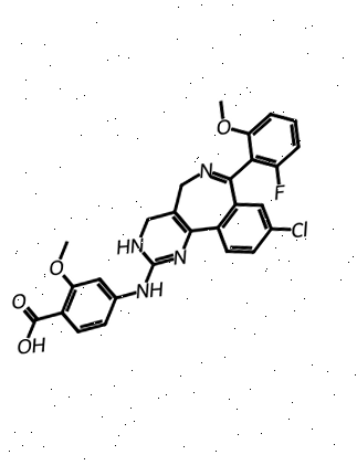 COc1cc(NC2=NC3=C(CN=C(c4c(F)cccc4OC)c4cc(Cl)ccc43)CN2)ccc1C(=O)O